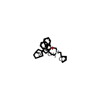 Cc1nc2ccccc2n1C1CC2CCC(C1)N2CCC1(c2ccccc2)CCN(Cc2ccco2)CC1